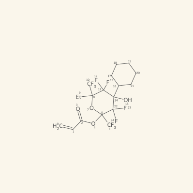 C=CC(=O)OC1(C(F)(F)F)OC(CC)(C(F)(F)F)C(F)(F)C(O)(C2CCCCC2)C1(F)F